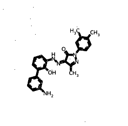 CC1=NN(c2ccc(C)c(C)c2)C(=O)C1=NNc1cccc(-c2cccc(N)c2)c1O